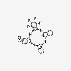 Fc1c(F)c(F)c2c3nc4nc(nc5[nH]c(nc6nc(nc([nH]3)c2c1F)-c1ccccc1-6)c1ccccc51)-c1ccccc1-4.[AlH2][Cl]